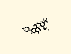 Cc1nnc(N[C@H](C)c2cc(N)cc(C(F)(F)F)n2)c2cc(N3CCN(C)CC3)ncc12